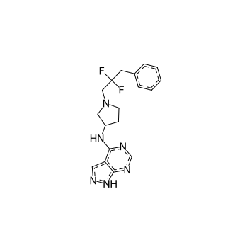 FC(F)(Cc1ccccc1)CN1CCC(Nc2ncnc3[nH]ncc23)C1